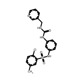 Cc1ccc(Cl)c(S(=O)(=O)Nc2cccc(NC(=O)NCc3cccnc3)c2)c1